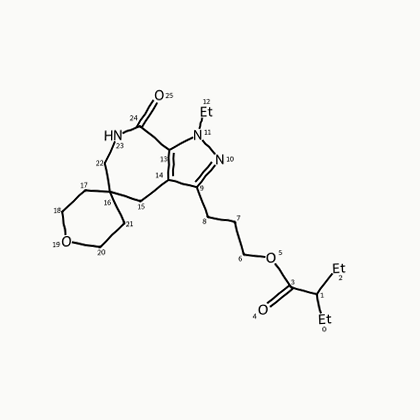 CCC(CC)C(=O)OCCCc1nn(CC)c2c1CC1(CCOCC1)CNC2=O